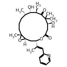 CC(=Cc1ccccn1)[C@@H]1C[C@H]2O[C@]2(C)CCC[C@H](C)[C@H](O)[C@@H](C)C(=O)C(C)(C)[C@@H](O)CC(=O)O1